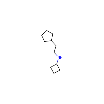 [CH]1CCC1NCCC1CCCC1